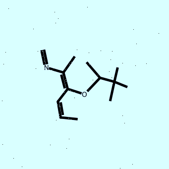 C=N/C(C)=C(\C=C/C)OC(C)C(C)(C)C